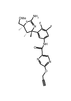 C#CCOc1cnc(C(=O)Nc2cc(F)c(F)c([C@@]3(C)N=C(N)S[C@](C)(COC)[C@H]3C)c2)cn1